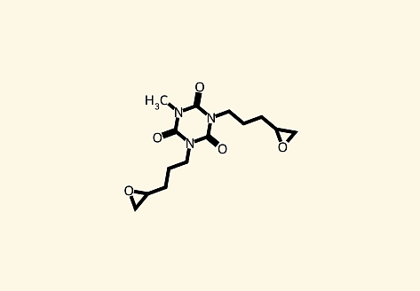 Cn1c(=O)n(CCCC2CO2)c(=O)n(CCCC2CO2)c1=O